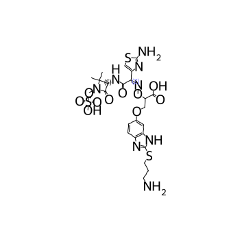 CC1(C)[C@H](NC(=O)/C(=N\OC(COc2ccc3nc(SCCCN)[nH]c3c2)C(=O)O)c2csc(N)n2)C(=O)N1OS(=O)(=O)O